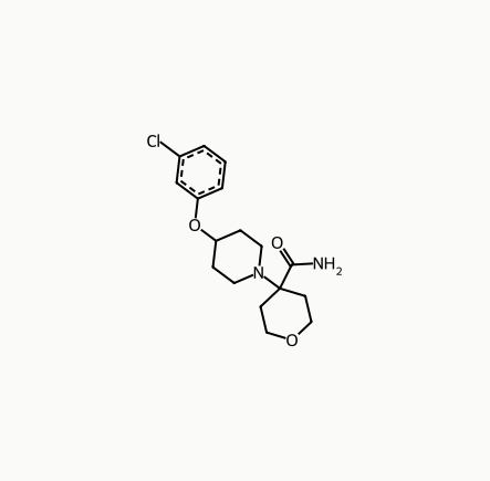 NC(=O)C1(N2CCC(Oc3cccc(Cl)c3)CC2)CCOCC1